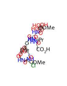 COc1ccc(C[C@H]2NC(=O)/C=C/C[C@@H]([C@H](C)[C@H]3O[C@@H]3c3ccc(CNC(=O)C(CCCCNC(=O)[C@H]4O[C@@H](OC)[C@H](O)[C@@H](O)[C@@H]4O)NC(=O)C(NC(=O)CCCC(=O)O)C(C)C)cc3)OC(=O)[C@H](CC(C)C)OC(=O)C(C)(C)CNC2=O)cc1Cl